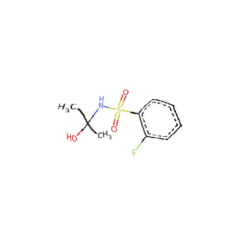 CC(C)(O)NS(=O)(=O)c1ccccc1F